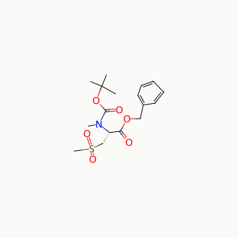 CN(C(=O)OC(C)(C)C)[C@@H](CS(C)(=O)=O)C(=O)OCc1ccccc1